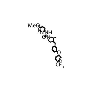 COc1ccc(NC(=O)N2CC/C(=C\c3cccc(Oc4ccc(C(F)(F)F)nc4)c3)C(C)C2)nn1